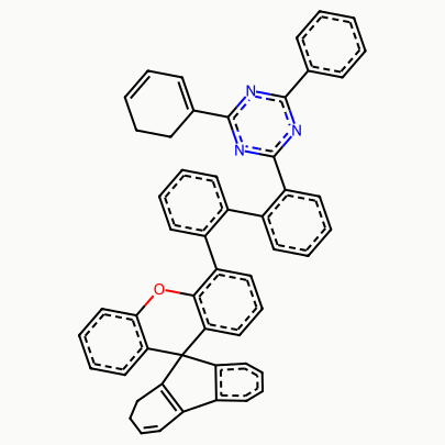 C1=CCCC(c2nc(-c3ccccc3)nc(-c3ccccc3-c3ccccc3-c3cccc4c3Oc3ccccc3C43C4=C(C=CCC4)c4ccccc43)n2)=C1